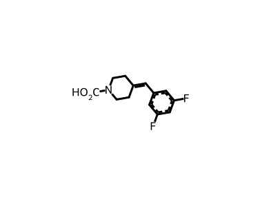 O=C(O)N1CCC(=Cc2cc(F)cc(F)c2)CC1